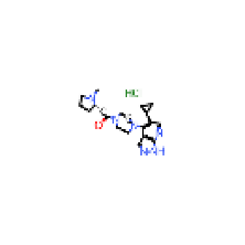 CN1CCC[C@H]1CC(=O)N1CCN(c2c(C3CC3)cnc3[nH]ncc23)CC1.Cl